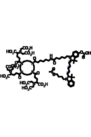 CS(=O)OCCCCN1c2ccccc2C(C)(C)C1/C=C/C=C/C=C1/N(CCCCCC(=O)NCCCCCC(=O)N2CCCN(C(=O)CCC(C(=O)O)N(CC(=O)O)CC(=O)O)CCN(C(=O)CCC(C(=O)O)N(CC(=O)O)CC(=O)O)CCCN(C(=O)CCC(C(=O)O)N(CC(=O)O)CC(=O)O)CC2)c2ccc(OS(=O)O)cc2C1(C)C